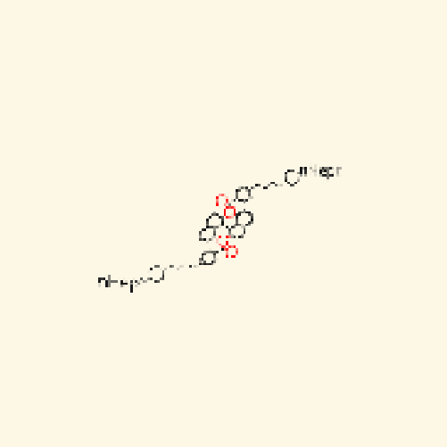 CCCCCCC[C@H]1CC[C@H](CCCCc2ccc(C(=O)Oc3ccc4ccccc4c3-c3c(OC(=O)c4ccc(CCCC[C@H]5CC[C@H](CCCCCCC)CC5)cc4)ccc4ccccc34)cc2)CC1